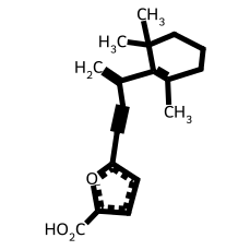 C=C(C#Cc1ccc(C(=O)O)o1)C1=C(C)CCCC1(C)C